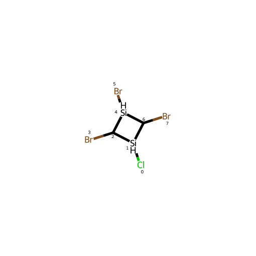 Cl[SiH]1C(Br)[SiH](Br)C1Br